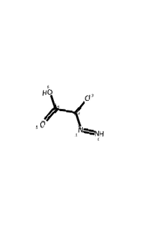 N=NC(Cl)C(=O)O